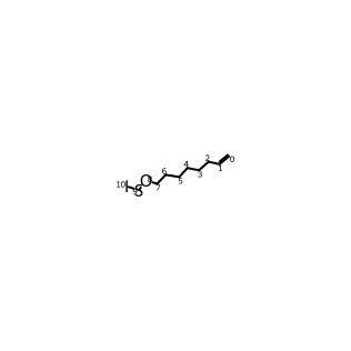 C=CCCCCCCOSI